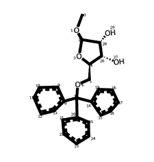 COC1O[C@H](COC(c2ccccc2)(c2ccccc2)c2ccccc2)[C@@H](O)[C@H]1O